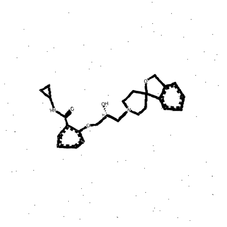 O=C(NC1CC1)c1ccccc1OC[C@H](O)CN1CCC2(CC1)OCc1ccccc12